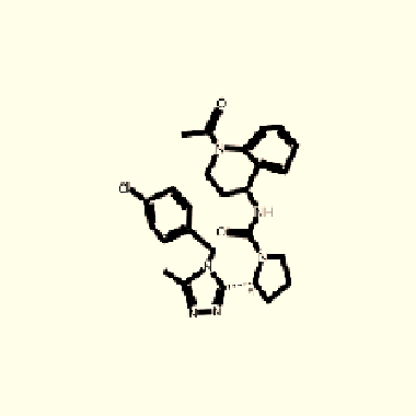 CC(=O)N1CCC(NC(=O)N2CCC[C@@H]2c2nnc(C)n2Cc2ccc(Cl)cc2)c2ccccc21